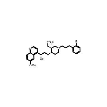 COc1ccc2nccc([C@H](O)CC[C@@H]3CCN(CCCc4ccccc4F)C[C@@H]3CC(=O)O)c2c1